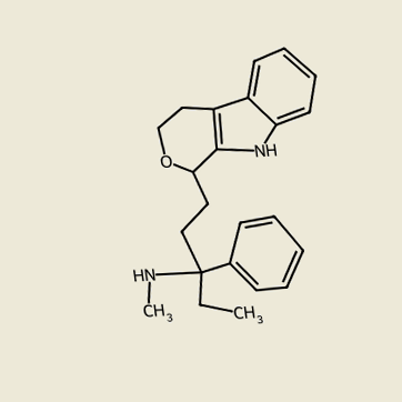 CCC(CCC1OCCc2c1[nH]c1ccccc21)(NC)c1ccccc1